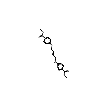 COC(=O)c1ccc(OC/C=C/COc2ccc(C(=O)OC)cc2)cc1